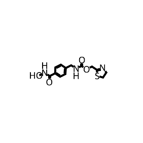 O=C(NCc1ccc(C(=O)NO)cc1)OCC1=NCCS1